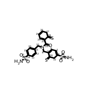 NS(=O)(=O)C1=CC=C(CN(Cc2ccc(S(N)(=O)=O)cc2)C(=O)C2=CC=CCC2=S)C(=S)C1